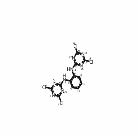 Clc1nc(Cl)nc(Nc2ccccc2Nc2nc(Cl)nc(Cl)n2)n1